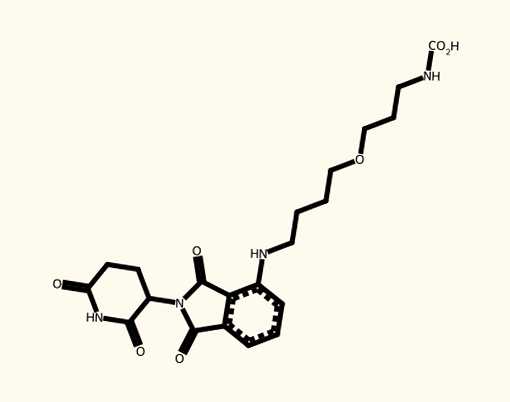 O=C(O)NCCCOCCCCNc1cccc2c1C(=O)N(C1CCC(=O)NC1=O)C2=O